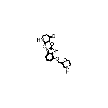 Cn1c(OC2C(=O)CCNC2=O)nc2cccc(OCC3CNCCO3)c21